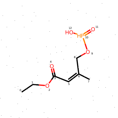 CCOC(=O)C=C(C)CO[PH](=O)O